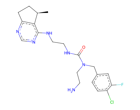 C[C@@H]1CCc2ncnc(NCCNC(=O)N(CCN)Cc3ccc(Cl)c(F)c3)c21